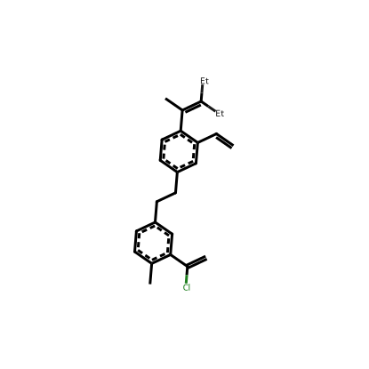 C=Cc1cc(CCc2ccc(C)c(C(=C)Cl)c2)ccc1C(C)=C(CC)CC